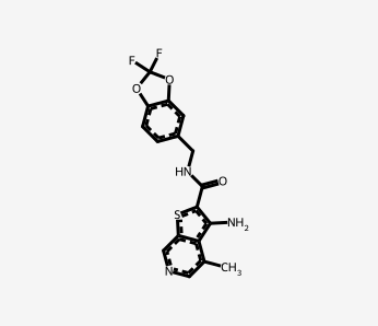 Cc1cncc2sc(C(=O)NCc3ccc4c(c3)OC(F)(F)O4)c(N)c12